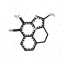 C=c1c(=N)c2cccc3c2n2c(c(C)nc12)CC3